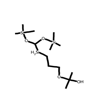 CC(C)(O)OCCC[SiH2]C(O[Si](C)(C)C)O[Si](C)(C)C